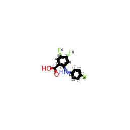 O=C(O)c1cc(F)c(F)cc1Nc1ccc(F)cc1